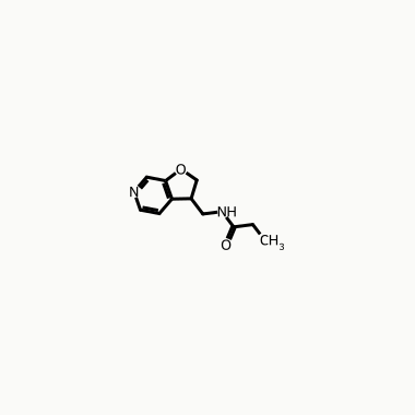 CCC(=O)NCC1COc2cnccc21